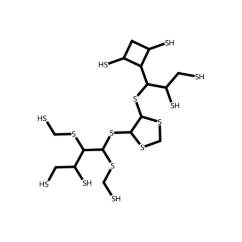 SCSC(SC1SCSC1SC(C(S)CS)C1C(S)CC1S)C(SCS)C(S)CS